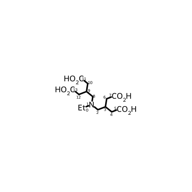 CCN(CC(CC(=O)O)CC(=O)O)CC(CC(=O)O)CC(=O)O